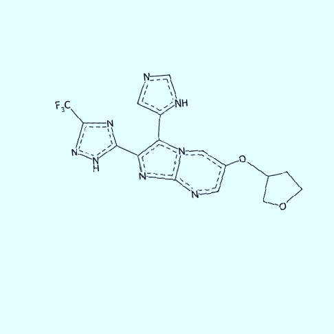 FC(F)(F)c1n[nH]c(-c2nc3ncc(OC4CCOC4)cn3c2-c2cnc[nH]2)n1